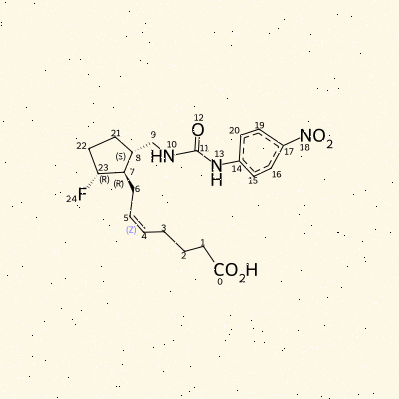 O=C(O)CCC/C=C\C[C@@H]1[C@@H](CNC(=O)Nc2ccc([N+](=O)[O-])cc2)CC[C@H]1F